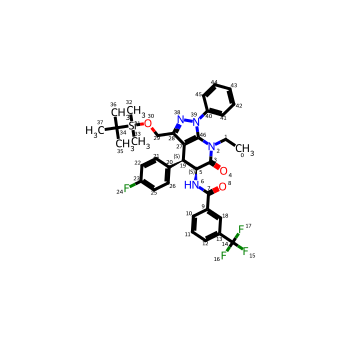 CCN1C(=O)[C@@H](NC(=O)c2cccc(C(F)(F)F)c2)[C@@H](c2ccc(F)cc2)c2c(CO[Si](C)(C)C(C)(C)C)nn(-c3ccccc3)c21